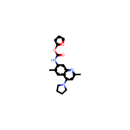 Cc1cc(N2CCCC2)c2cc(C)c(NC(=O)Oc3ccco3)cc2n1